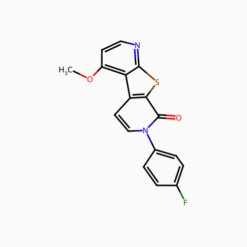 COc1ccnc2sc3c(=O)n(-c4ccc(F)cc4)ccc3c12